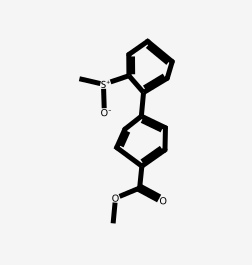 COC(=O)c1ccc(-c2ccccc2[S+](C)[O-])cc1